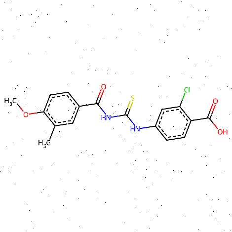 COc1ccc(C(=O)NC(=S)Nc2ccc(C(=O)O)c(Cl)c2)cc1C